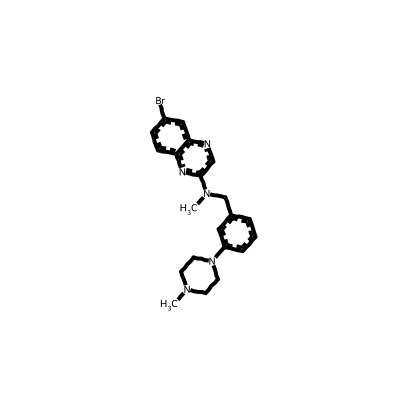 CN1CCN(c2cccc(CN(C)c3cnc4cc(Br)ccc4n3)c2)CC1